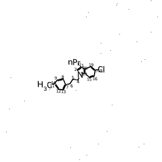 CCCc1cn(CCCc2ccc(C)cc2)c2ccc(Cl)cc12